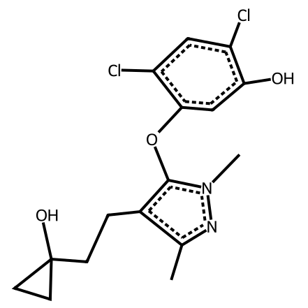 Cc1nn(C)c(Oc2cc(O)c(Cl)cc2Cl)c1CCC1(O)CC1